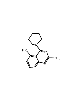 Cc1nc(N2CCCCC2)c2c(C)cccc2n1